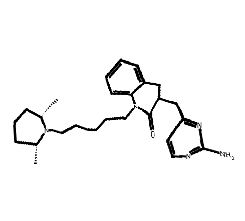 C[C@@H]1CCC[C@H](C)N1CCCCCN1C(=O)C(Cc2ccnc(N)n2)Cc2ccccc21